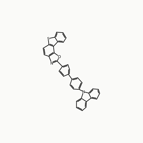 c1ccc2c(c1)sc1ccc3nc(-c4ccc(-c5ccc(-n6c7ccccc7c7ccccc76)cc5)cc4)oc3c12